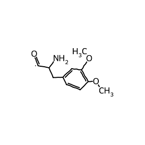 COc1ccc(CC(N)[C]=O)cc1OC